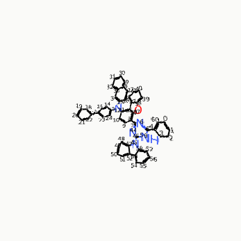 C1=CCCC(C2=NC(c3ccc(N(c4ccc(-c5ccccc5)cc4)c4ccc5ccccc5c4)c4c3oc3ccccc34)=NC(n3c4ccccc4c4ccccc43)N2)=C1